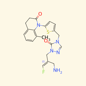 Cc1cccc2c1N(c1ccc(Cn3cnn(C/C(=C/F)CN)c3=O)s1)C(=O)CC2